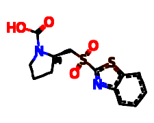 O=C(O)N1CCC[C@@H]1CS(=O)(=O)c1nc2ccccc2s1